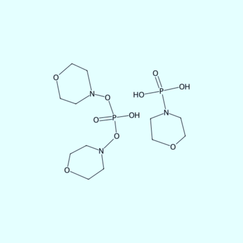 O=P(O)(O)N1CCOCC1.O=P(O)(ON1CCOCC1)ON1CCOCC1